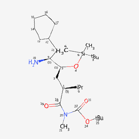 CC(C)[C@H](C[C@H](O[Si](C)(C)C(C)(C)C)[C@@H](N)CC1CCCCC1)C(=O)N(C)C(=O)OC(C)(C)C